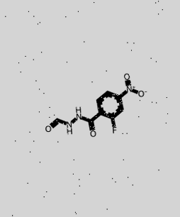 O=CNNC(=O)c1ccc([N+](=O)[O-])cc1F